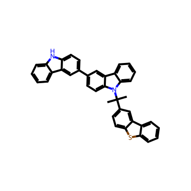 CC(C)(c1ccc2sc3ccccc3c2c1)n1c2ccccc2c2cc(-c3ccc4[nH]c5ccccc5c4c3)ccc21